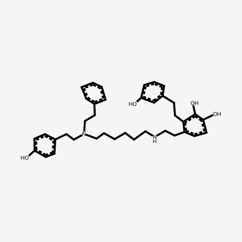 Oc1ccc(CCN(CCCCCCNCCc2ccc(O)c(O)c2CCc2cccc(O)c2)CCc2ccccc2)cc1